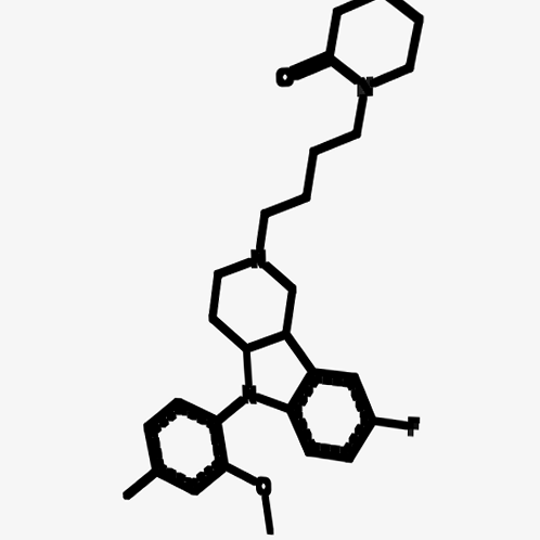 COc1cc(C)ccc1N1c2ccc(F)cc2C2CN(CCCCN3CCCCC3=O)CCC21